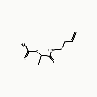 C=CCONC(=O)C(C)OC(N)=O